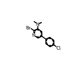 CN(C)c1cc(-c2ccc(Cl)cc2)cnc1Br